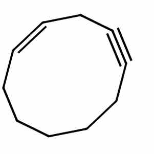 C1#CCCCCC/C=C\C1